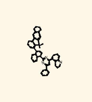 CC1(C)c2cc3ccccc3cc2-c2cccc(-c3ccc(-c4nc(-c5ccccc5)cc(-c5cccc6ncccc56)n4)c4ccccc34)c21